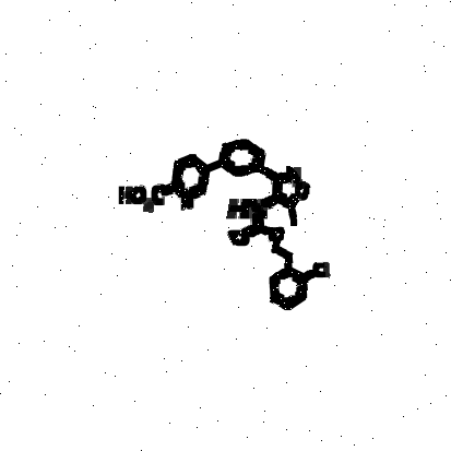 Cc1onc(-c2cccc(-c3ccc(C(=O)O)nc3)c2)c1NC(=O)OCCc1ccccc1Cl